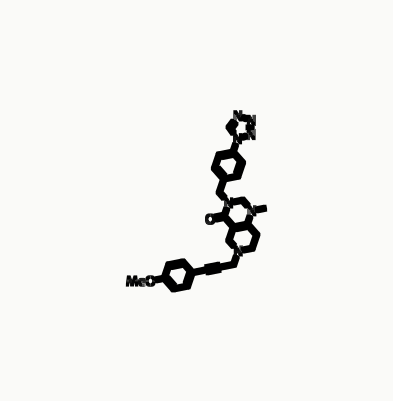 COc1ccc(C#CCN2CCC3=C(C2)C(=O)N(Cc2ccc(-n4cnnn4)cc2)CN3C)cc1